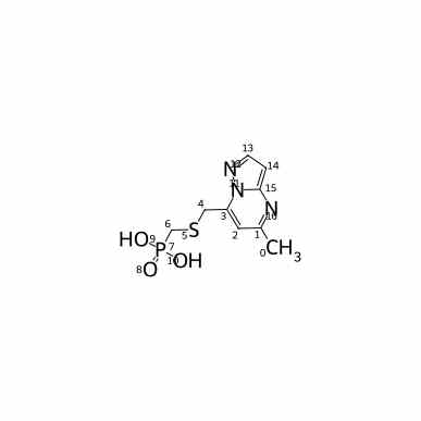 Cc1cc(CSCP(=O)(O)O)n2nccc2n1